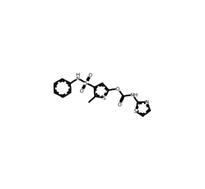 Cc1sc(OC(=O)Nc2nccs2)cc1S(=O)(=O)Nc1ccccc1